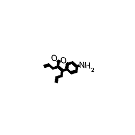 C=CCc1c(CC=C)c2ccc(N)cc2oc1=O